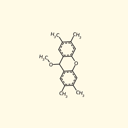 COC1c2cc(C)c(C)cc2Oc2cc(C)c(C)cc21